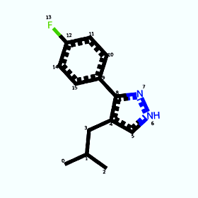 CC(C)Cc1c[nH]nc1-c1ccc(F)cc1